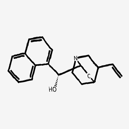 C=CC1CN2CCC1CC2[C@H](O)c1cccc2ccccc12